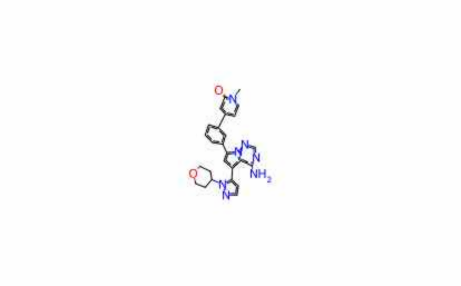 Cn1ccc(-c2cccc(-c3cc(-c4ccnn4C4CCOCC4)c4c(N)ncnn34)c2)cc1=O